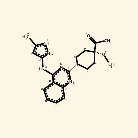 CO[C@]1(C(C)=O)CC[C@H](c2nc(Nc3cc(C)[nH]n3)c3ccccc3n2)CC1